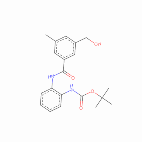 Cc1cc(CO)cc(C(=O)Nc2ccccc2NC(=O)OC(C)(C)C)c1